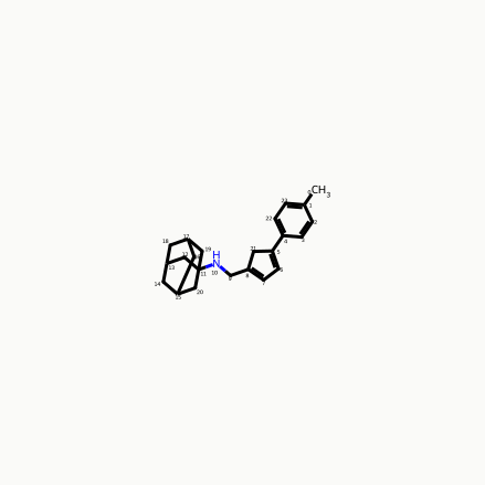 Cc1ccc(C2=CC=C(CNC34CC5CC(CC(C5)C3)C4)C2)cc1